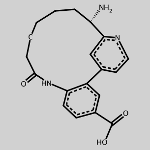 N[C@H]1CCCCCC(=O)Nc2ccc(C(=O)O)cc2-c2ccnc1c2